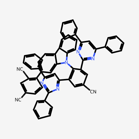 N#Cc1ccc(-c2ccc3c4ccccc4n(-c4c(-c5cc(-c6ccccc6)nc(-c6ccccc6)n5)cc(C#N)cc4-c4nc(-c5ccccc5)cc(-c5ccccc5)n4)c3c2)c(C#N)c1